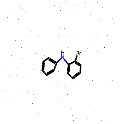 Brc1ccccc1Nc1cc[c]cc1